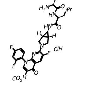 CC(C)C[C@H](NC(=O)[C@H](C)N)C(=O)N[C@H]1[C@@H]2CN(c3nc4c(cc3F)c(=O)c(C(=O)O)cn4-c3ccc(F)cc3F)C[C@@H]21.Cl